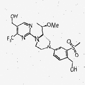 CO[C@H](C)[C@@H]1CN(c2ccc(CO)c(S(C)(=O)=O)c2)CCN1c1ncc(CO)c(C(F)(F)F)n1